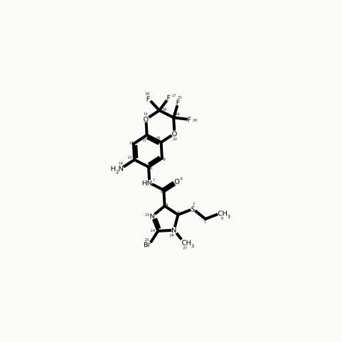 CCSC1C(C(=O)Nc2cc3c(cc2N)OC(F)(F)C(F)(F)O3)N=C(Br)N1C